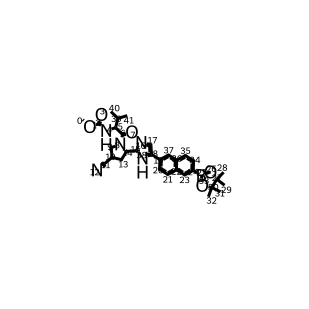 COC(=O)NC(C(=O)N1CC(C#N)CC1c1ncc(-c2ccc3cc(B4OC(C)(C)C(C)(C)O4)ccc3c2)[nH]1)C(C)C